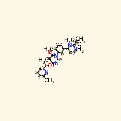 Cc1cccc(COc2ncn(-c3cc(-c4ccnc(C(C)(C)C)n4)ccc3C)c(=O)c2C)n1